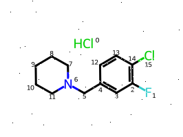 Cl.Fc1cc(CN2CCCCC2)ccc1Cl